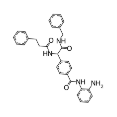 Nc1ccccc1NC(=O)c1ccc(C(NC(=O)CCc2ccccc2)C(=O)NCc2ccccc2)cc1